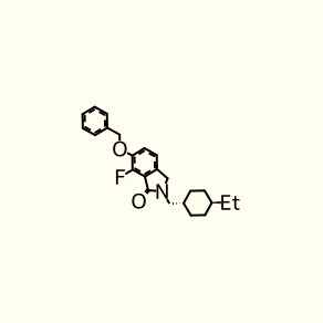 CC[C@H]1CC[C@H](CN2Cc3ccc(OCc4ccccc4)c(F)c3C2=O)CC1